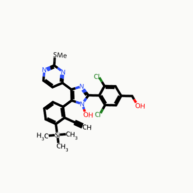 C#Cc1c(-c2c(-c3ccnc(SC)n3)nc(-c3c(Cl)cc(CO)cc3Cl)n2O)cccc1[Si](C)(C)C